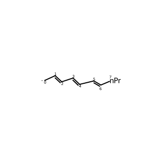 [CH2]C=CC=CC=CCCC